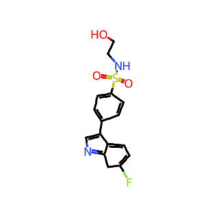 O=S(=O)(NCCO)c1ccc(C2=CN=C3CC(F)=CC=C23)cc1